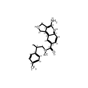 CCN(CC(C)c1ccc(C(F)(F)F)cc1)C(=O)c1ccc2nc(N)c3c(c2c1)COC3